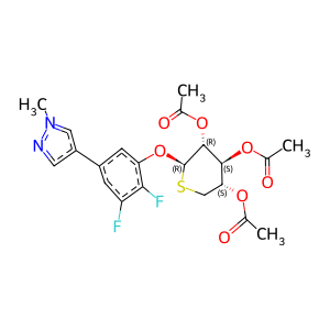 CC(=O)O[C@@H]1[C@@H](OC(C)=O)[C@H](OC(C)=O)CS[C@H]1Oc1cc(-c2cnn(C)c2)cc(F)c1F